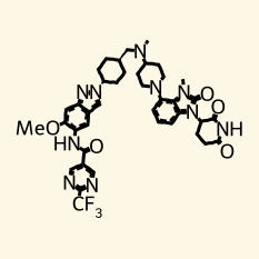 COc1cc2nn([C@H]3CC[C@H](CN(C)C4CCN(c5cccc6c5n(C)c(=O)n6C5CCC(=O)NC5=O)CC4)CC3)cc2cc1NC(=O)c1cnc(C(F)(F)F)nc1